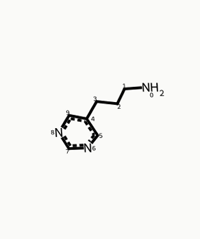 NCCCc1cncnc1